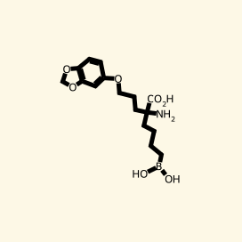 NC(CCCCB(O)O)(CCCOc1ccc2c(c1)OCO2)C(=O)O